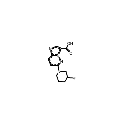 O=C(O)c1cnc2ccc(N3CCCC(F)C3)nn12